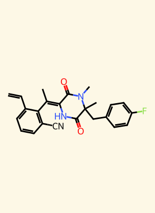 C=Cc1cccc(C#N)c1C(C)=C1NC(=O)C(C)(Cc2ccc(F)cc2)N(C)C1=O